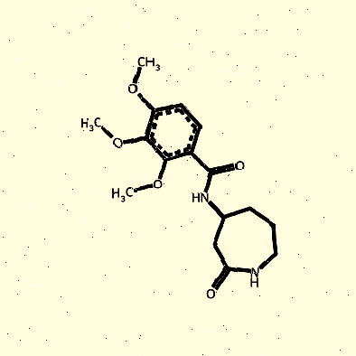 COc1ccc(C(=O)NC2CCCNC(=O)C2)c(OC)c1OC